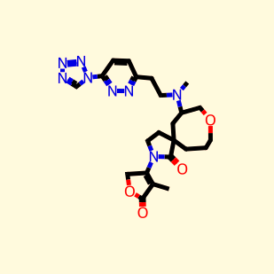 CC1=C(N2CCC3(CCCOCC(N(C)CCc4ccc(-n5cnnn5)nn4)C3)C2=O)COC1=O